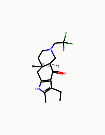 CCc1c(C)[nH]c2c1C(=O)[C@@H]1CN(CC(F)(F)F)CC[C@H]1C2